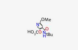 COCc1cc(C(=O)NC(C)(C)C)c(OC(=O)O)cn1